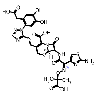 CC(C)(O/N=C(\C(=O)NC1C(=O)N2C(C(=O)O)=C(CSc3nnnn3-c3cc(O)c(O)cc3CC(=O)O)CS[C@H]12)c1csc(N)n1)C(=O)O